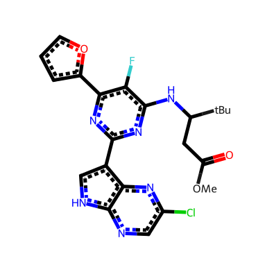 COC(=O)CC(Nc1nc(-c2c[nH]c3ncc(Cl)nc23)nc(-c2ccco2)c1F)C(C)(C)C